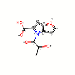 CC(=O)C(=O)n1c(C(=O)O)cc2occc21